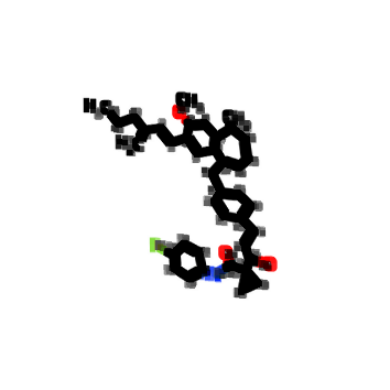 C=C(/C=C/c1cc2c(cc1OC)C(=C)C=CC=C2Cc1ccc(/C=C/C(=O)C2(C(=O)Nc3ccc(F)cc3)CC2)cc1)CCC